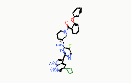 O=C(c1ccccc1Oc1ccccc1)N1CCC[C@H](CNc2nc(C3=CNC4NC=C(Cl)C=C34)ncc2F)C1